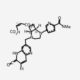 CCC1=Cc2ncc(CN3CCN(c4ccc(C(=O)NC)nc4)[C@H]4CC[C@H]43)cc2NC1=C=O.O=C(O)/C=C\C(=O)O